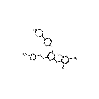 Cc1cc(C)c(Oc2cc(Oc3ccc(N4CCNCC4)cc3)nc(NSc3cnn(C)c3)n2)c(C)c1